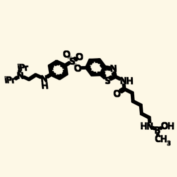 CB(O)NCCCCCC(=O)Nc1nc2ccc(OS(=O)(=O)c3ccc(NCCN(C(C)C)C(C)C)cc3)cc2s1